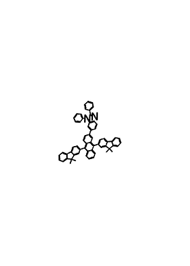 CC1(C)c2ccccc2-c2ccc(-c3c4ccccc4c(-c4ccc5c(c4)C(C)(C)c4ccccc4-5)c4cc(-c5ccc6nc(-c7ccccc7)n(-c7ccccc7)c6c5)ccc34)cc21